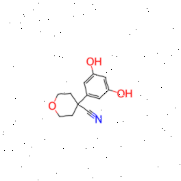 N#CC1(c2cc(O)cc(O)c2)CCOCC1